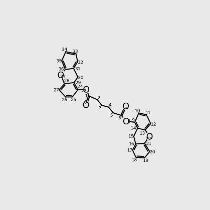 O=C(CCCCC(=O)Oc1cccc2c1Cc1ccccc1O2)Oc1cccc2c1Cc1ccccc1O2